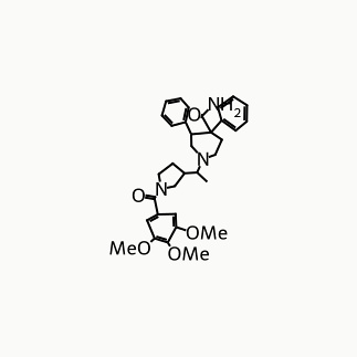 COc1cc(C(=O)N2CCC(C(C)N3CCC(C(N)=O)(c4ccccc4)C(c4ccccc4)C3)C2)cc(OC)c1OC